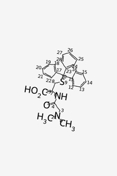 CN(C)CC(=O)NC(CSC(c1ccccc1)(c1ccccc1)c1ccccc1)C(=O)O